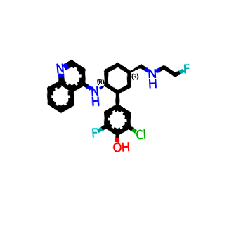 Oc1c(F)cc(C2C[C@H](CNCCF)CC[C@H]2Nc2ccnc3ccccc23)cc1Cl